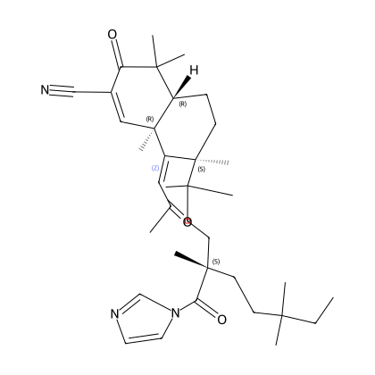 CCC(C)(C)CC[C@@](C)(CCC(C)(C)[C@]1(C)CC[C@H]2C(C)(C)C(=O)C(C#N)=C[C@]2(C)/C1=C/C(C)=O)C(=O)n1ccnc1